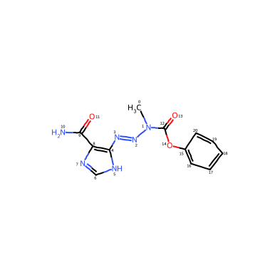 CN(/N=N/c1[nH]cnc1C(N)=O)C(=O)Oc1ccccc1